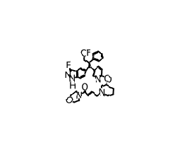 O=C(/C=C/CN1CCC[C@@H](Oc2ccc(/C(=C(/CC(F)(F)F)c3ccccc3)c3ccc4[nH]nc(F)c4c3)cn2)C1)N1CCOCC1